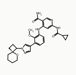 COc1c(Nc2cc(NC(=O)C3CC3)ncc2C(N)=O)cccc1-c1cnn(C2CC[C@@]23CCCCO3)c1